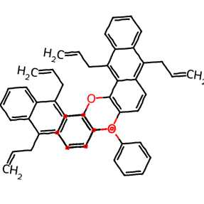 C=CCc1c2ccccc2c(CC=C)c2c(Oc3c(Oc4ccccc4)ccc4c(CC=C)c5ccccc5c(CC=C)c34)c(Oc3ccccc3)ccc12